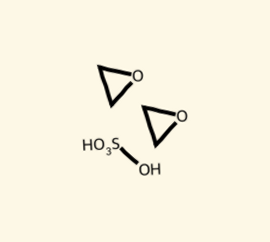 C1CO1.C1CO1.O=S(=O)(O)O